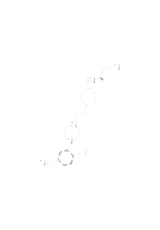 N#CCC(=O)NC1CCC(CCN2CCN(c3cc(C#N)ccc3Cl)CC2)CC1